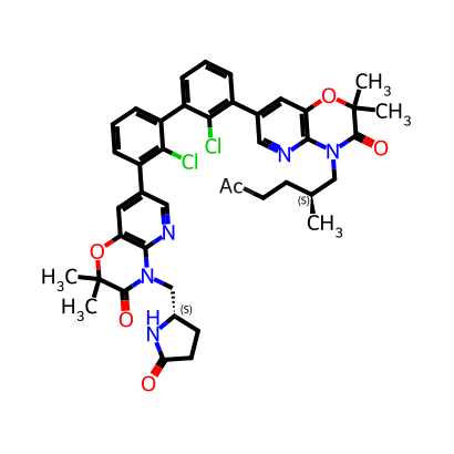 CC(=O)CC[C@H](C)CN1C(=O)C(C)(C)Oc2cc(-c3cccc(-c4cccc(-c5cnc6c(c5)OC(C)(C)C(=O)N6C[C@@H]5CCC(=O)N5)c4Cl)c3Cl)cnc21